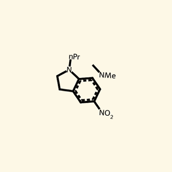 CCCN1CCc2cc([N+](=O)[O-])ccc21.CNC